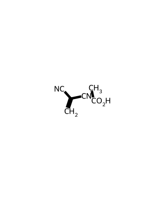 C=C(C#N)C#N.CC(=O)O